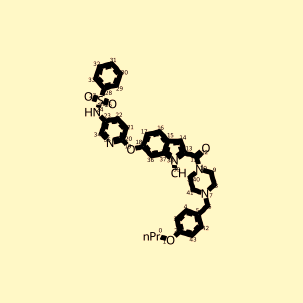 CCCOc1ccc(CN2CCN(C(=O)c3cc4ccc(Oc5ccc(NS(=O)(=O)c6ccccc6)cn5)cc4n3C)CC2)cc1